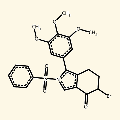 COc1cc(-c2c3c(cn2S(=O)(=O)c2ccccc2)C(=O)C(Br)CC3)cc(OC)c1OC